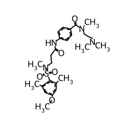 COc1cc(C)c(S(=O)(=O)N(C)CCC(=O)Nc2ccc(C(=O)N(C)CCN(C)C)cc2)c(C)c1